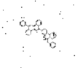 c1ccc(-c2cc3c4ccccc4c(-c4ccc5c(c4)Sc4cc6ccccc6c6cncc-5c46)cc3c3ccccc23)cc1